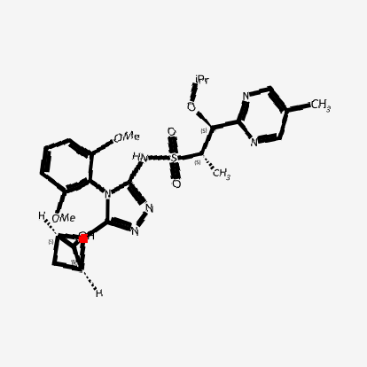 COc1cccc(OC)c1-n1c(NS(=O)(=O)[C@@H](C)[C@@H](OC(C)C)c2ncc(C)cn2)nnc1C1[C@@H]2C[C@H]1C2O